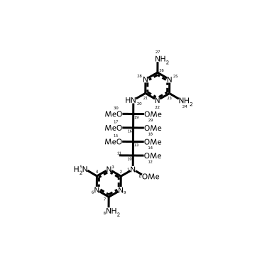 CON(c1nc(N)nc(N)n1)C(C)(OC)C(OC)(OC)C(OC)(OC)C(Nc1nc(N)nc(N)n1)(OC)OC